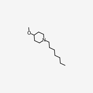 CCCCCCCN1CCC(OC)CC1